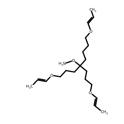 CC=COCCCCC(CCCOC=CC)(CCCOC=CC)O[SiH3]